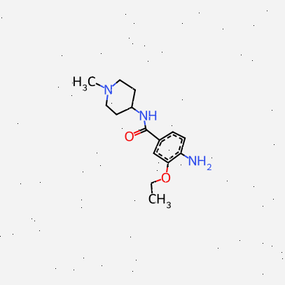 CCOc1cc(C(=O)NC2CCN(C)CC2)ccc1N